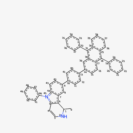 CC1NC=Cc2c1c1cc(-c3ccc(-c4ccc5c(-c6ccccc6)c6ccccc6c(-c6ccccc6)c5c4)cc3)ccc1n2-c1ccccc1